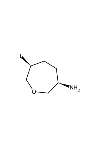 N[C@@H]1CC[C@H](I)COC1